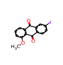 COc1cccc2c1C(=O)c1ccc(I)cc1C2=O